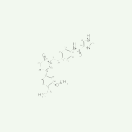 COc1ccc(C2=NN(CCc3ccc(NC(=O)c4c[nH]cn4)cc3)C(=O)CC2)cc1OC